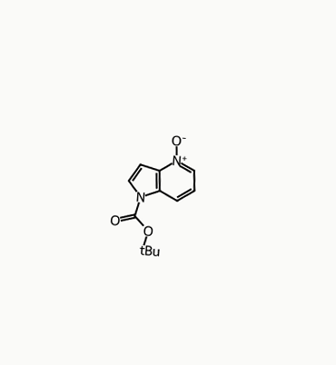 CC(C)(C)OC(=O)n1ccc2c1ccc[n+]2[O-]